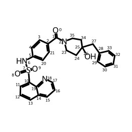 O=C(c1ccc(NS(=O)(=O)c2cccc3cccnc23)cc1)N1CCC(O)(Cc2ccccc2)CC1